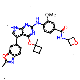 COc1cc(C(=O)NC2COC2)ccc1Nc1nc(OC2(C)CCC2)c2c(-c3ccc4nc(C)oc4c3)c[nH]c2n1